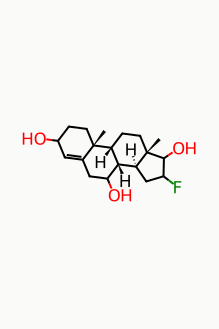 C[C@]12CCC(O)C=C1CC(O)[C@@H]1[C@H]2CC[C@]2(C)C(O)C(F)C[C@@H]12